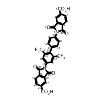 O=C(O)c1ccc2c(c1)C(=O)N(c1ccc(-c3c(C(F)(F)F)cc(N4C(=O)c5ccc(C(=O)O)cc5C4=O)cc3C(F)(F)F)cc1)C2=O